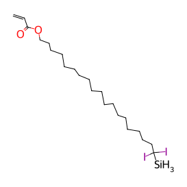 C=CC(=O)OCCCCCCCCCCCCCCCCCCC([SiH3])(I)I